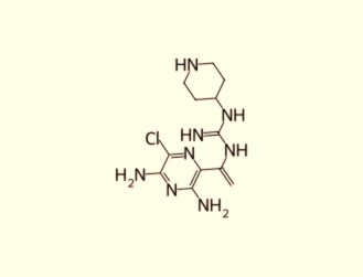 C=C(NC(=N)NC1CCNCC1)c1nc(Cl)c(N)nc1N